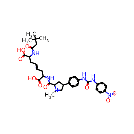 CN1CC(c2ccc(NC(=O)Nc3ccc([N+](=O)[O-])cc3)cc2)CC1C(=O)NC(C/C=C/CC(NC(=O)CC(C)(C)C)C(=O)O)C(=O)O